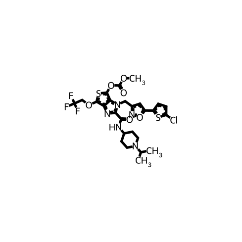 COC(=O)Oc1sc(OCC(F)(F)F)c2nc(C(=O)NC3CCN(C(C)C)CC3)n(Cc3cc(-c4ccc(Cl)s4)on3)c12